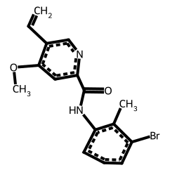 C=Cc1cnc(C(=O)Nc2cccc(Br)c2C)cc1OC